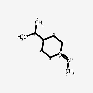 CN=S1CCC(C(C)C)CC1